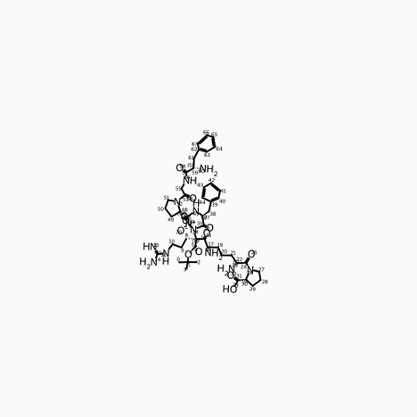 CC(C)(C)OC(=O)[C@](CCCNC(=N)N)(C(=O)C(N)CCC[C@H](N)C(=O)N1CCC[C@H]1C(=O)O)N(C(=O)[C@H](Cc1ccccc1)NC(=O)[C@@H]1CCCN1C(=O)CNC(=O)[C@@H](N)Cc1ccccc1)[N+](=O)[O-]